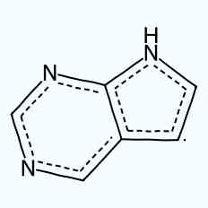 [c]1c[nH]c2ncncc12